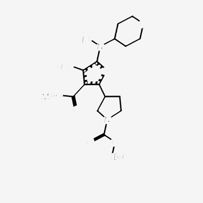 CCN(c1sc(C2CCN(C(=O)OC(C)(C)C)C2)c(C(=O)OC)c1C)C1CCOCC1